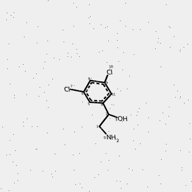 NCC(O)c1cc(Cl)cc(Cl)c1